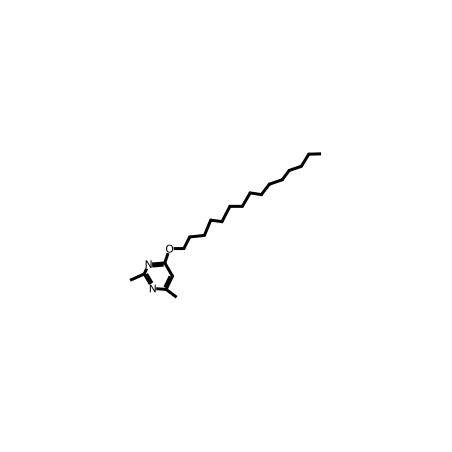 CCCCCCCCCCCCCCCOc1cc(C)nc(C)n1